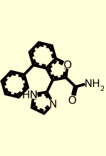 NC(=O)c1oc2cccc(-c3ccccc3)c2c1-c1ncc[nH]1